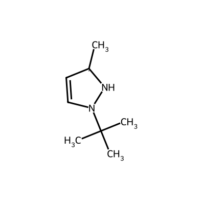 C[C]1C=CN(C(C)(C)C)N1